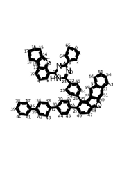 c1ccc(C2=NC(c3cccc4c3sc3ccccc34)NC(c3ccc(-c4c(-c5ccc(-c6ccc(-c7ccccc7)cc6)cc5)ccc5oc6cc7ccccc7cc6c45)cc3)=N2)cc1